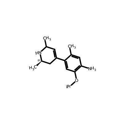 Cc1cc(N)c(OC(C)C)cc1C1=CC(C)N[C@H](C)C1